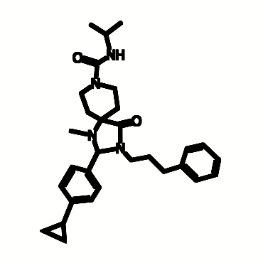 CC(C)NC(=O)N1CCC2(CC1)C(=O)N(CCCc1ccccc1)C(c1ccc(C3CC3)cc1)N2C